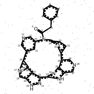 O=C(Cc1ccccc1)n1c2cncc(c2)c2ncc3[nH]nc(c4nc5c(cncc5c5ccc1s5)[nH]4)c3c2F